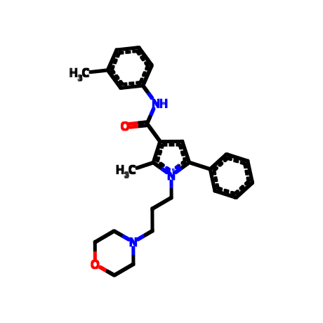 Cc1cccc(NC(=O)c2cc(-c3ccccc3)n(CCCN3CCOCC3)c2C)c1